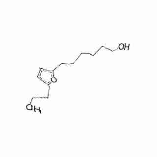 OCCCCCCc1ccc(CCO)o1